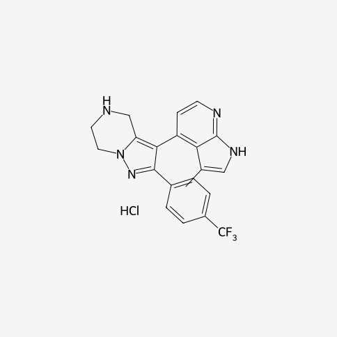 Cc1c[nH]c2nccc(-c3c(-c4ccc(C(F)(F)F)cc4)nn4c3CNCC4)c12.Cl